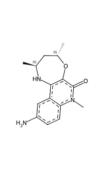 C[C@H]1C[C@H](C)Oc2c(c3cc(N)ccc3n(C)c2=O)N1